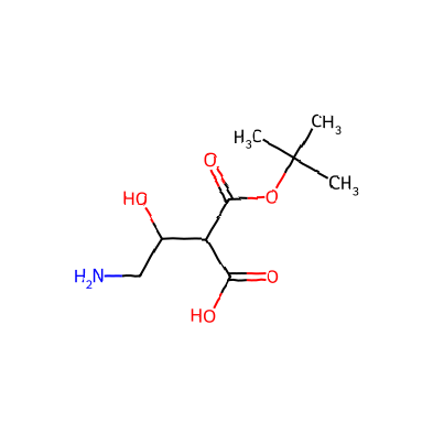 CC(C)(C)OC(=O)C(C(=O)O)C(O)CN